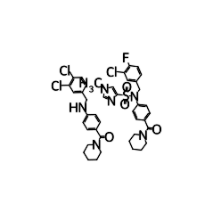 Cn1cnc(S(=O)(=O)N(Cc2ccc(F)c(Cl)c2)c2ccc(C(=O)N3CCCCC3)cc2)c1.O=C(c1ccc(NCc2ccc(Cl)c(Cl)c2)cc1)N1CCCCC1